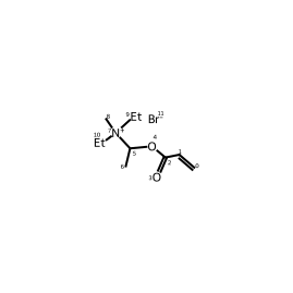 C=CC(=O)OC(C)[N+](C)(CC)CC.[Br-]